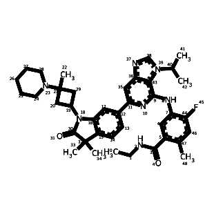 CCNC(=O)c1cc(Nc2nc(-c3ccc4c(c3)N(C3CC(C)(N5CCCCC5)C3)C(=O)C4(C)C)cc3ncn(C(C)C)c23)c(F)cc1C